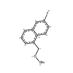 CC(C)(C)OCc1cccc2cc(F)ccc12